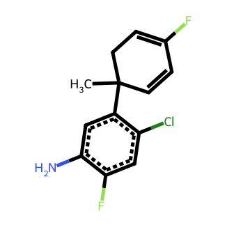 CC1(c2cc(N)c(F)cc2Cl)C=CC(F)=CC1